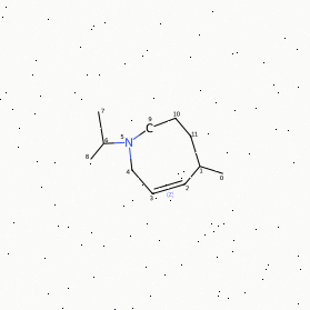 CC1/C=C\CN(C(C)C)CCC1